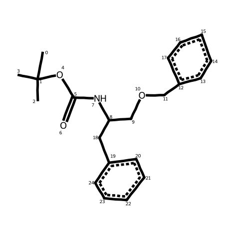 CC(C)(C)OC(=O)NC(COCc1ccccc1)Cc1ccccc1